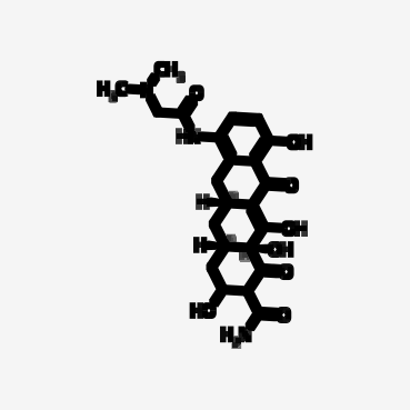 CN(C)CC(=O)Nc1ccc(O)c2c1C[C@H]1C[C@H]3CC(O)C(C(N)=O)C(=O)[C@@]3(O)C(O)=C1C2=O